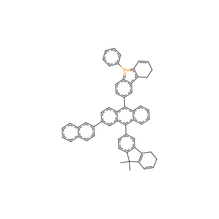 CC1(C)C2=C(CCC=C2)c2cc(-c3c4ccccc4c(-c4ccc5c(c4)c4c(p5-c5ccccc5)C=CCC4)c4ccc(-c5ccc6ccccc6c5)cc34)ccc21